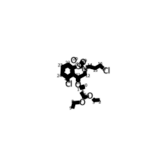 C=C.CCOC(C)OCC.O=C1CN(CCCCl)S(=O)(=O)c2cccc(Cl)c21